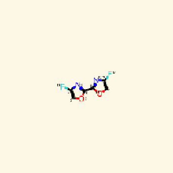 Fc1coc(-c2nc(F)co2)n1